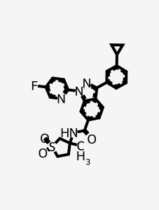 CC1(NC(=O)c2ccc3c(-c4cccc(C5CC5)c4)nn(-c4ccc(F)cn4)c3c2)CCS(=O)(=O)C1